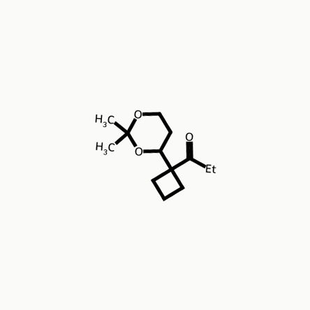 CCC(=O)C1(C2CCOC(C)(C)O2)CCC1